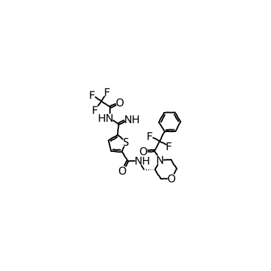 N=C(NC(=O)C(F)(F)F)c1ccc(C(=O)NC[C@H]2COCCN2C(=O)C(F)(F)c2ccccc2)s1